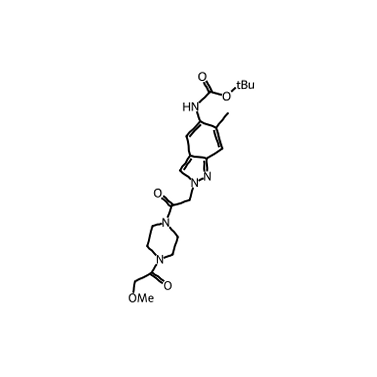 COCC(=O)N1CCN(C(=O)Cn2cc3cc(NC(=O)OC(C)(C)C)c(C)cc3n2)CC1